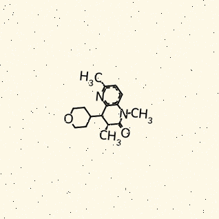 Cc1ccc2c(n1)C(C1CCOCC1)[C@H](C)C(=O)N2C